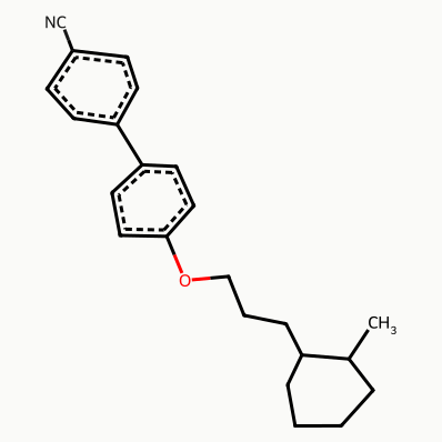 CC1CCCCC1CCCOc1ccc(-c2ccc(C#N)cc2)cc1